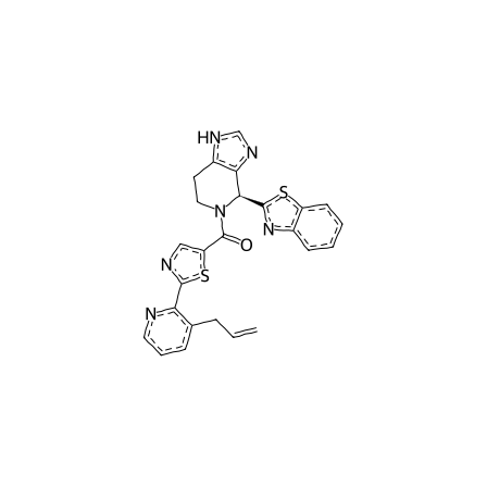 C=CCc1cccnc1-c1ncc(C(=O)N2CCc3[nH]cnc3[C@H]2c2nc3ccccc3s2)s1